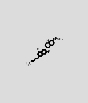 C/C=C/CCc1cc(F)c2cc([C@@H]3CC[C@@H]4CC(CCCCC)CCC4C3)c(F)cc2c1